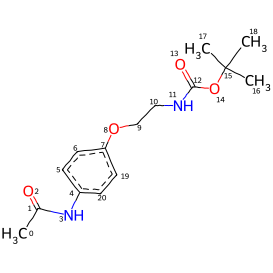 CC(=O)Nc1ccc(OCCNC(=O)OC(C)(C)C)cc1